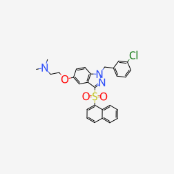 CN(C)CCOc1ccc2c(c1)c(S(=O)(=O)c1cccc3ccccc13)nn2Cc1cccc(Cl)c1